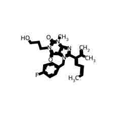 C=C(C)/C(=C\C=C/C)c1nc2c(c(=O)n(CCCO)c(=O)n2C)n1Cc1ccc(F)cc1